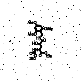 COc1cc(OC)c(CNC(=O)C(O)CC(NC(=O)OC(C)(C)C)C(=O)OC(C)(C)C)c(OC)c1